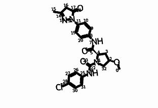 CO[C@@H]1C[C@H](C(=O)Nc2ccc(N3N=C(C)CC3=O)cc2)N(C(=O)Nc2ccc(Cl)cc2)C1